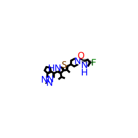 Cc1c(C2CCN(C(=O)[C@H]3C[C@@H](F)CN3)CC2)sc2[nH]c(-c3cn4ncnc4c4c3CCC4)c(C(C)C)c12